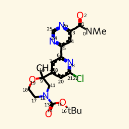 CNC(=O)c1cc(-c2cc(C3(C)CN(C(=O)OC(C)(C)C)CCO3)cc(Cl)n2)ncn1